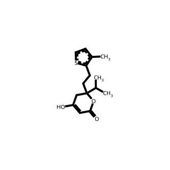 Cc1ccsc1CCC1(C(C)C)CC(O)=CC(=O)O1